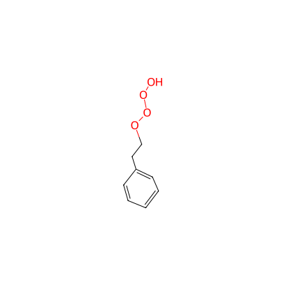 OOOOCCc1ccccc1